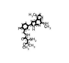 CNc1nc2[nH]c(-c3ccc(F)c(CNC(=O)[C@@H](N)[C@@H](C)OC)c3)cc2c2c1ncn2C